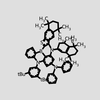 CC1CC(N2c3cc(N(c4ccccc4)c4ccccc4)cc4c3B(c3ccccc3N4c3cc(C(C)(C)C)cc(C(C)(C)C)c3)c3sc4cc5c(cc4c32)C(C)(C)CCC5(C)C)=CC2=C1C(C)(C)CCC2(C)C